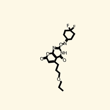 CCCOCCCc1cc(=O)oc2nc(ON=C3CCC(F)(F)CC3)[nH]c(=O)c12